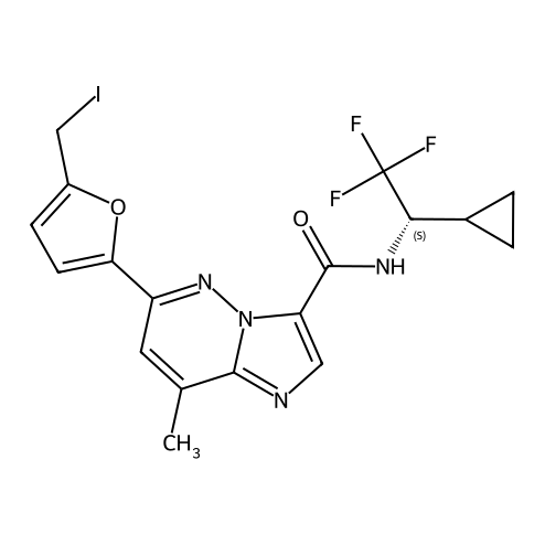 Cc1cc(-c2ccc(CI)o2)nn2c(C(=O)N[C@@H](C3CC3)C(F)(F)F)cnc12